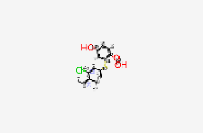 C=C(/C=C(Cl)\C(=C/C)CC)Sc1cc(O)ccc1OO